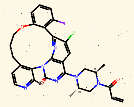 C=CC(=O)N1C[C@H](C)N(c2nc(=O)n3c4nc(c(Cl)cc24)-c2c(I)cccc2OCCCc2ccnc(C(C)C)c2-3)C[C@H]1C